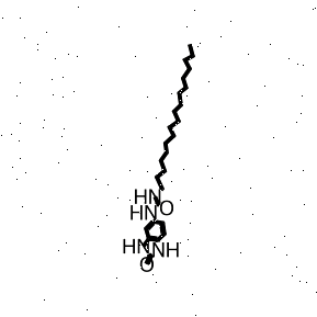 CCCCCCCCCCCCCCCCCCNC(=O)Nc1ccc2[nH]c(=O)[nH]c2c1